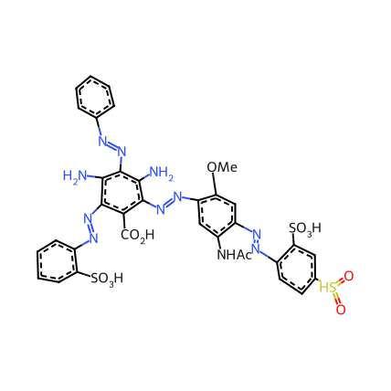 COc1cc(N=Nc2ccc([SH](=O)=O)cc2S(=O)(=O)O)c(NC(C)=O)cc1N=Nc1c(N)c(N=Nc2ccccc2)c(N)c(N=Nc2ccccc2S(=O)(=O)O)c1C(=O)O